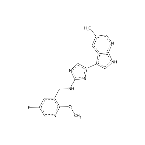 COc1ncc(F)cc1CNc1ncc(-c2c[nH]c3ncc(C)cc23)s1